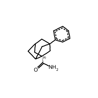 NC(=O)[C@@]12CC3CC1CC(c1ccccc1)(C3)C2